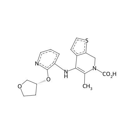 CC1=C(Nc2cccnc2O[C@@H]2CCOC2)c2ccsc2CN1C(=O)O